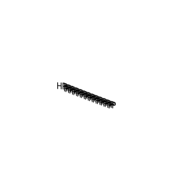 P#P=P\P=P/P=P\P=P/P=P\P=P/P=P\P=P/P=P\P=P/P=P\P=P/P=P\P=P/P=P\P=P/P=P\P=P/P=P\P=P/P=P\P=P/P=P\P=P/P=P